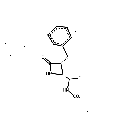 O=C(O)NC(O)[C@@H]1NC(=O)[C@@H]1Cc1ccccc1